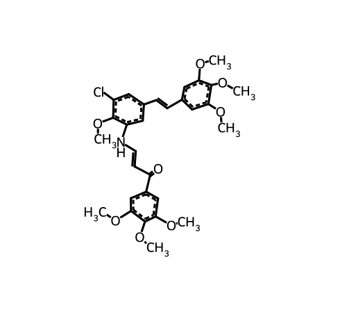 COc1cc(C=Cc2cc(Cl)c(OC)c(NC=CC(=O)c3cc(OC)c(OC)c(OC)c3)c2)cc(OC)c1OC